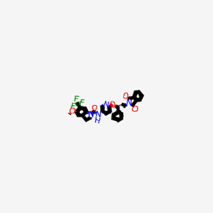 COc1cc2c(cc1C(F)(F)F)N(C(=O)Nc1ccc(O[C@H](CCN3C(=O)c4ccccc4C3=O)c3ccccc3)nc1)CC2